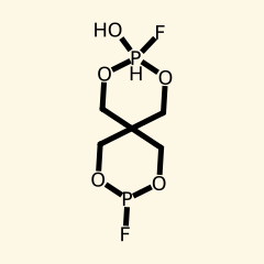 O[PH]1(F)OCC2(COP(F)OC2)CO1